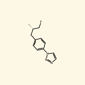 C[C@H](CF)Cc1ccc(-n2ccnn2)cc1